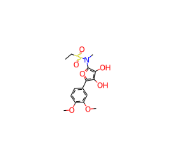 CCS(=O)(=O)N(C)c1oc(-c2ccc(OC)c(OC)c2)c(O)c1O